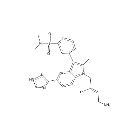 Cc1c(-c2cccc(S(=O)(=O)N(C)C)c2)c2cc(-c3nn[nH]n3)ccc2n1CC(F)=CCN